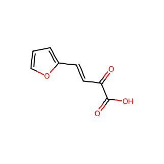 O=C(O)C(=O)C=Cc1ccco1